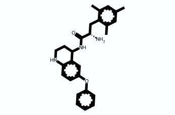 Cc1cc(C)c(C[C@H](N)C(=O)NC2CCNc3ccc(Oc4ccccc4)cc32)c(C)c1